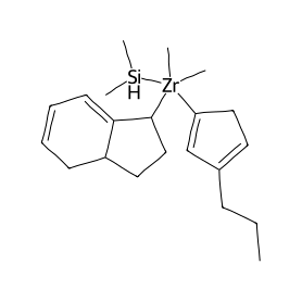 CCCC1=CC[C]([Zr]([CH3])([CH3])([CH]2CCC3CC=CC=C32)[SiH](C)C)=C1